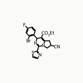 CCOC(=O)C1=C2CC(C#N)CN2C(c2nccs2)=NC1c1ccc(F)cc1Br